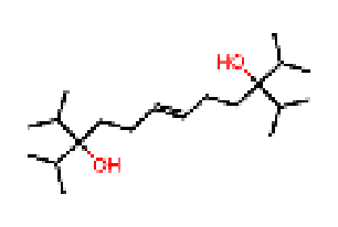 CC(C)C(O)(CC/C=C/CCC(O)(C(C)C)C(C)C)C(C)C